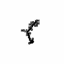 O=C(CC[C@H](NC(=O)CCCCCN1C(=O)C=CC1=O)C(=O)O)NC[C@H](O)[C@@H](O)[C@H](O)[C@H](O)CO